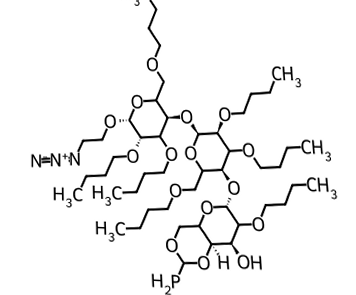 CCCCOCC1O[C@@H](OCCN=[N+]=[N-])[C@@H](OCCCC)C(OCCCC)[C@@H]1O[C@@H]1OC(COCCCC)[C@H](O[C@H]2OC3COC(P)O[C@@H]3[C@H](O)C2OCCCC)C(OCCCC)[C@@H]1OCCCC